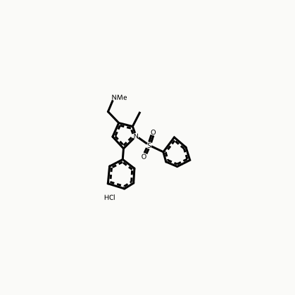 CNCc1cc(-c2ccccc2)n(S(=O)(=O)c2ccccc2)c1C.Cl